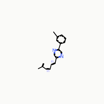 C=C(C)/C=C\C=C\c1cnc(-c2cccc(C)c2)cn1